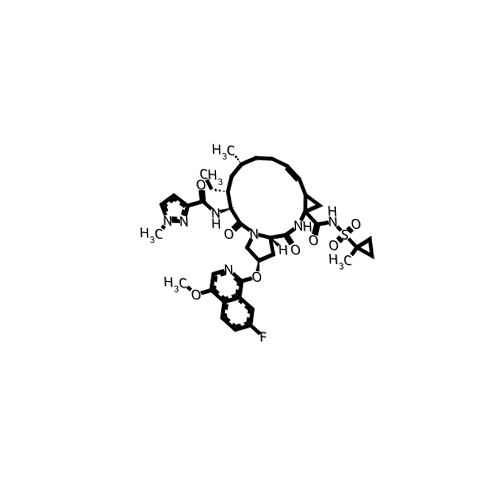 CC[C@@H]1C[C@H](C)CC/C=C\C2CC2(C(=O)NS(=O)(=O)C2(C)CC2)NC(=O)[C@@H]2C[C@@H](Oc3ncc(OC)c4ccc(F)cc34)CN2C(=O)[C@H]1NC(=O)c1ccn(C)n1